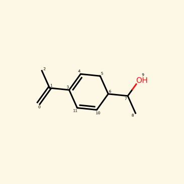 C=C(C)C1=CCC(C(C)O)C=C1